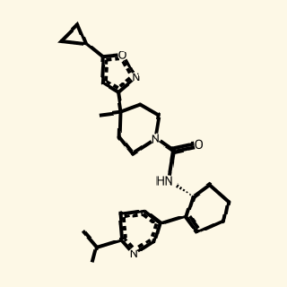 CC(C)c1ccc(C2=CCCC[C@H]2NC(=O)N2CCC(C)(c3cc(C4CC4)on3)CC2)cn1